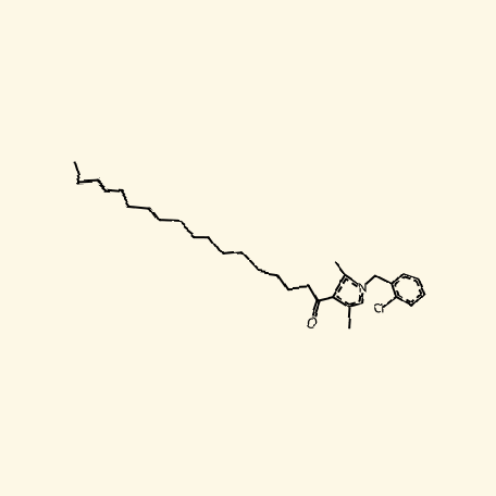 CCCCCCCCCCCCCCCCCC(=O)c1c(C)cn(Cc2ccccc2Cl)c1C